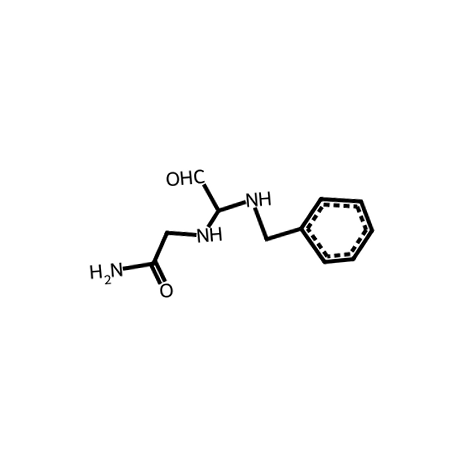 NC(=O)CNC(C=O)NCc1ccccc1